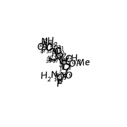 COc1cc(C(=O)N2C[C@H](N)C[C@@H](F)C2)cc2sc(-c3cc4ccc(-c5ccc(C(N)=O)c(F)c5)nc4n3CC3CC3)c(C)c12